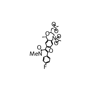 CNC(=O)c1c(-c2ccc(F)cc2)oc2cc3c(cc12)[C@@H](C)O[C@@H](CS(C)(=O)=O)CN3S(C)(=O)=O